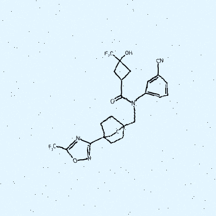 N#Cc1cccc(N(CC23CCC(c4noc(C(F)(F)F)n4)(CC2)CC3)C(=O)C2CC(O)(C(F)(F)F)C2)c1